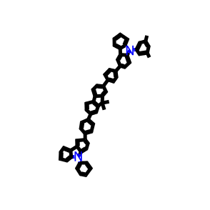 Cc1cc(C)cc(-n2c3ccccc3c3cc(-c4ccc(-c5ccc6c(c5)C(C)(C)c5cc(-c7ccc(-c8ccc9c(c8)c8ccccc8n9-c8ccccc8)cc7)ccc5-6)cc4)ccc32)c1